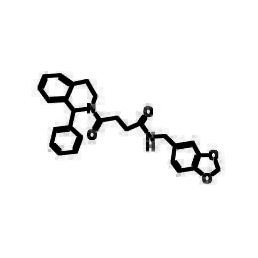 O=C(CCC(=O)N1CCc2ccccc2C1c1ccccc1)NCc1ccc2c(c1)OCO2